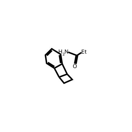 CCC(N)=O.c1ccc2c(c1)C1CCC21